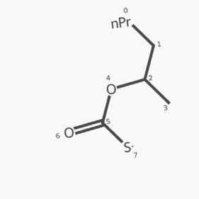 CCCCC(C)OC(=O)[S]